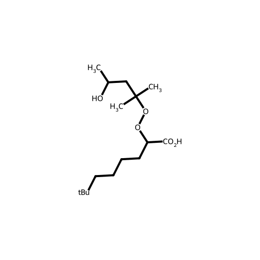 CC(O)CC(C)(C)OOC(CCCCC(C)(C)C)C(=O)O